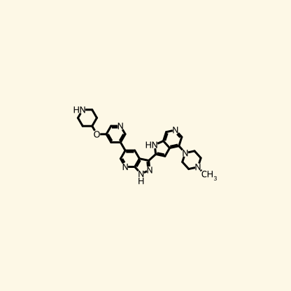 CN1CCN(c2cncc3[nH]c(-c4n[nH]c5ncc(-c6cncc(OC7CCNCC7)c6)cc45)cc23)CC1